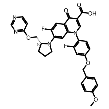 COc1ccc(COc2ccc(-n3cc(C(=O)O)c(=O)c4cc(F)c(N5CCC[C@@H]5COc5ccncn5)cc43)c(F)c2)cc1